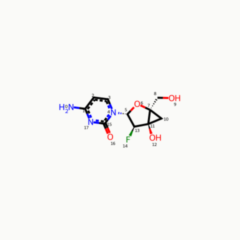 Nc1ccn([C@@H]2O[C@@]3(CO)C[C@]3(O)[C@H]2F)c(=O)n1